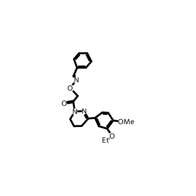 CCOc1cc(C2=NN(C(=O)CO/N=C/c3ccccc3)CCC2)ccc1OC